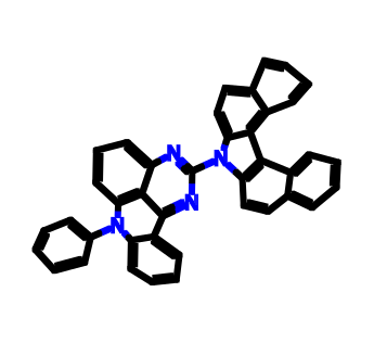 c1ccc(N2c3ccccc3-c3nc(-n4c5ccc6ccccc6c5c5c6ccccc6ccc54)nc4cccc2c34)cc1